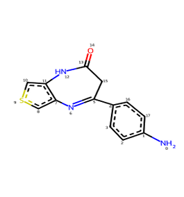 Nc1ccc(C2=Nc3cscc3NC(=O)C2)cc1